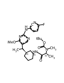 COc1nc(Nc2ccc(F)nc2)ncc1C(C)[C@@H]1CCC[C@H](NC(=O)[C@H](C)N(C)C(=O)OC(C)(C)C)C1